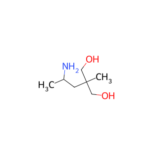 CC(N)CC(C)(CO)CO